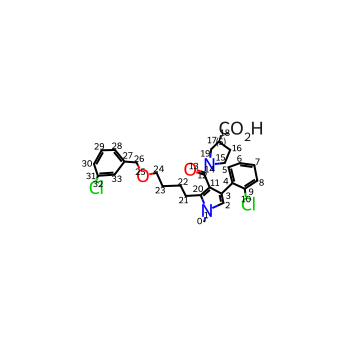 Cn1cc(-c2ccccc2Cl)c(C(=O)N2CC[C@H](C(=O)O)C2)c1CCCCOCc1cccc(Cl)c1